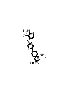 C[C@@]1(O)C[C@@H](N)C2(CCN(c3cnc(Sc4ccnc(N)c4Cl)cn3)CC2)C1